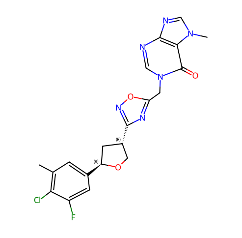 Cc1cc([C@H]2C[C@H](c3noc(Cn4cnc5ncn(C)c5c4=O)n3)CO2)cc(F)c1Cl